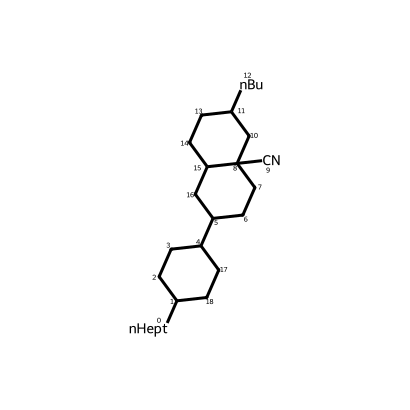 CCCCCCCC1CCC(C2CCC3(C#N)CC(CCCC)CCC3C2)CC1